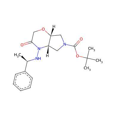 C[C@@H](NN1C(=O)CO[C@@H]2CN(C(=O)OC(C)(C)C)C[C@@H]21)c1ccccc1